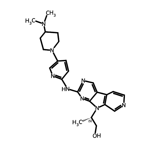 C[C@@H](CO)n1c2cnccc2c2cnc(Nc3ccc(N4CCC(N(C)C)CC4)cn3)nc21